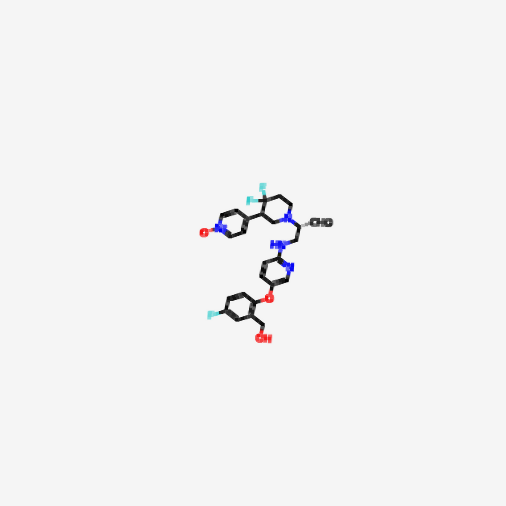 O=C[C@H](CNc1ccc(Oc2ccc(F)cc2CO)cn1)N1CCC(F)(F)C(c2cc[n+]([O-])cc2)C1